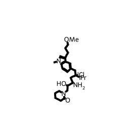 COCCCc1cn(C)c2ccc(CC(CC(N)C(O)CN3CCCCC3=O)C(C)C)cc12.Cl